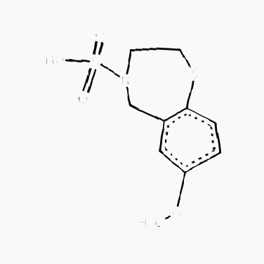 COc1ccc2c(c1)CN(S(=O)(=O)O)CCS2